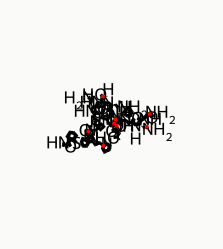 CNC(=O)c1ccccc1Sc1ccc2c(/C=C/c3ccccn3)nn(C(=O)N(C)CC3(SSCC(=O)N[C@@H](CCN)C(=O)N[C@H](C(=O)N[C@@H](CCN)C(=O)N[C@@H](CCNC(=O)C[C@@H](C)O)C(=O)NCC(=O)N[C@H](Cc4ccccc4)C(=O)NCC(=O)N[C@@H](CCN)C(=O)NCC(N)=O)[C@@H](C)O)CCC3)c2c1